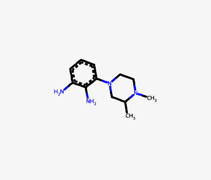 CC1CN(c2cccc(N)c2N)CCN1C